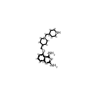 Nc1nc(N)c2c(OCC3CCN(CC4CCNCC4)CC3)cccc2n1